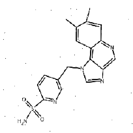 Cc1cc2ncc3ncn(Cc4ccc(S(N)(=O)=O)nc4)c3c2cc1C